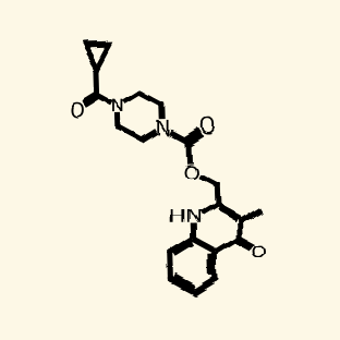 Cc1c(COC(=O)N2CCN(C(=O)C3CC3)CC2)[nH]c2ccccc2c1=O